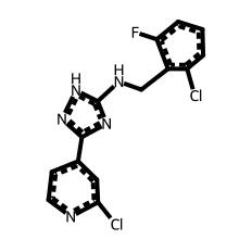 Fc1cccc(Cl)c1CNc1nc(-c2ccnc(Cl)c2)n[nH]1